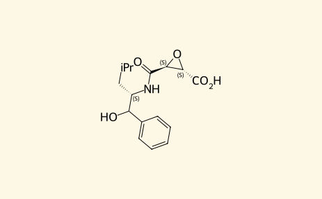 CC(C)C[C@H](NC(=O)[C@H]1O[C@@H]1C(=O)O)C(O)c1ccccc1